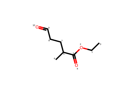 CCOC(=O)C(C)CCC=O